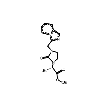 CC(C)(C)OC(=O)[C@@H](N1CCN(Cc2ncc3ccccn23)C1=O)C(C)(C)C